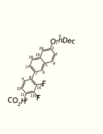 CCCCCCCCCCOc1ccc2cc(-c3ccc(C(=O)O)c(F)c3F)ccc2c1